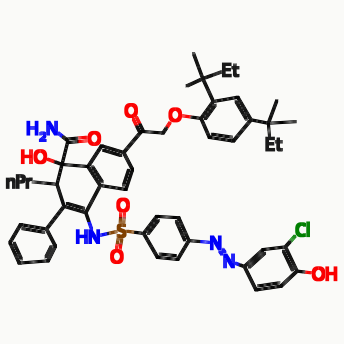 CCCC1C(c2ccccc2)=C(NS(=O)(=O)c2ccc(N=Nc3ccc(O)c(Cl)c3)cc2)c2ccc(C(=O)COc3ccc(C(C)(C)CC)cc3C(C)(C)CC)cc2C1(O)C(N)=O